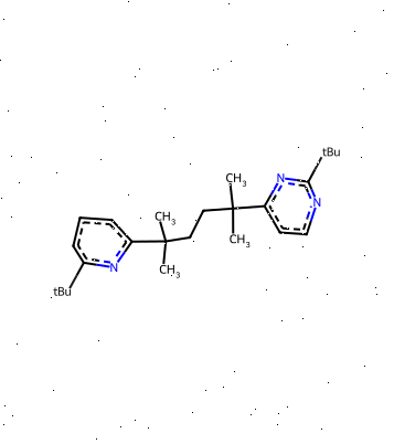 CC(C)(C)c1cccc(C(C)(C)CCC(C)(C)c2ccnc(C(C)(C)C)n2)n1